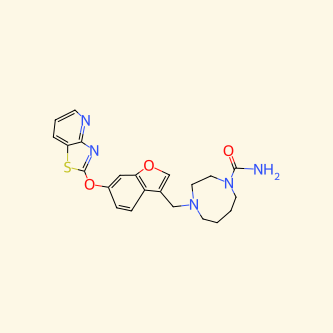 NC(=O)N1CCCCN(Cc2coc3cc(Oc4nc5ncccc5s4)ccc23)CC1